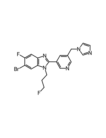 FCCCn1c(-c2cncc(Cn3ccnc3)c2)nc2cc(F)c(Br)cc21